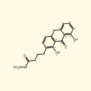 CN(O)C(=O)CCCc1ccc2c(c1O)C(=O)c1c(O)cccc1C2